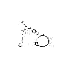 COc1cc2cc(c1Cl)N(C)C(=O)C[C@H](OC(=O)Nc1ccc(NC(=O)[C@H](CCCNC(N)=O)NC(=O)[C@@H](NC(=S)NCCCCN3C(=O)C=CC3=O)C(C)C)cc1)[C@]1(C)O[C@H]1[C@H](C)[C@@H]1C[C@@](O)(NC(=O)O1)[C@H](OC)/C=C/C=C(\C)C2